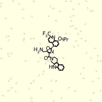 CC(C)Oc1ccc(-c2nc(C(=O)N3CCc4c([nH]c5ccccc45)C3)c(CN)o2)c2ccc(C(F)(F)F)nc12